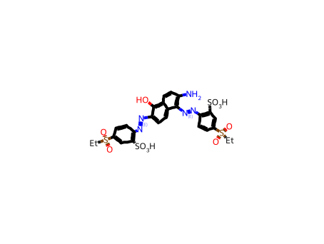 CCS(=O)(=O)c1ccc(/N=N/c2ccc3c(/N=N/c4ccc(S(=O)(=O)CC)cc4S(=O)(=O)O)c(N)ccc3c2O)c(S(=O)(=O)O)c1